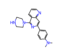 CN(C)c1ccc(-c2cc3ncccc3c(N3CCNCC3)n2)cc1